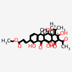 CCOC(=O)/C=C/c1ccc2c(c1O)C(=O)C1=C(O)[C@@]3(O)C(=O)C(C(C)=O)=C(O)C(C(C)C)[C@@]3(C)[C@H](O)[C@@]1(C)[C@@H]2C